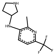 Cc1nc(C(F)(F)F)ccc1NC1CCNC1